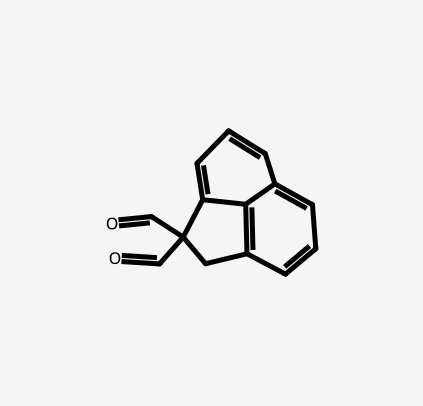 O=CC1(C=O)Cc2cccc3cccc1c23